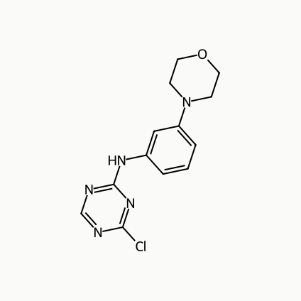 Clc1ncnc(Nc2cccc(N3CCOCC3)c2)n1